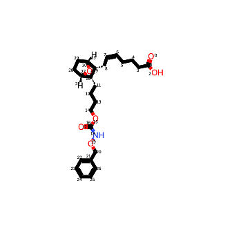 O=C(O)CCC/C=C\C[C@@H]1[C@H](CCCCOC(=O)NOCc2ccccc2)[C@@H]2CC[C@H]1O2